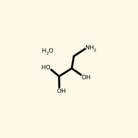 NCC(O)C(O)O.O